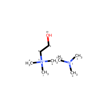 CN(C)C.C[N+](C)(C)CCO